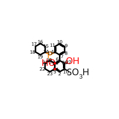 O=S(=O)(O)c1ccc(O)c(-c2ccccc2P(C2CCCCC2)C2CCCCC2)c1O